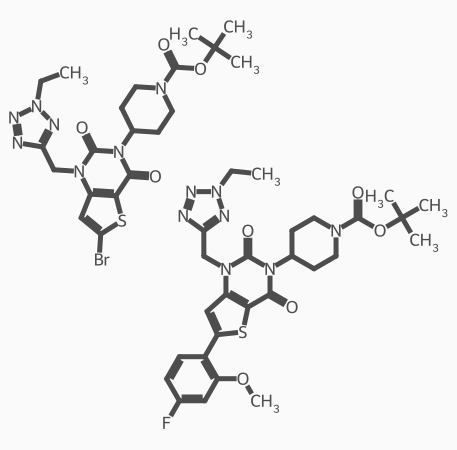 CCn1nnc(Cn2c(=O)n(C3CCN(C(=O)OC(C)(C)C)CC3)c(=O)c3sc(-c4ccc(F)cc4OC)cc32)n1.CCn1nnc(Cn2c(=O)n(C3CCN(C(=O)OC(C)(C)C)CC3)c(=O)c3sc(Br)cc32)n1